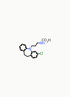 O=C(O)NCCCN1c2ccccc2CCc2ccc(Cl)cc21